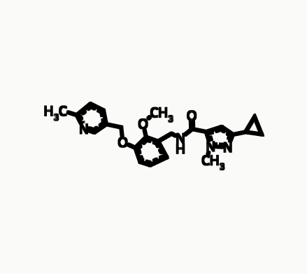 COc1c(CNC(=O)c2cc(C3CC3)nn2C)cccc1OCc1ccc(C)nc1